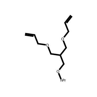 C=CCOCC(COCC=C)COCCC